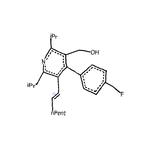 CCCCC/C=C/c1c(C(C)C)nc(C(C)C)c(CO)c1-c1ccc(F)cc1